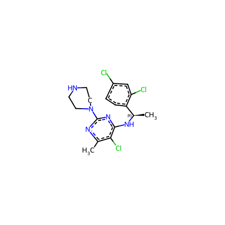 Cc1nc(N2CCNCC2)nc(N[C@H](C)c2ccc(Cl)cc2Cl)c1Cl